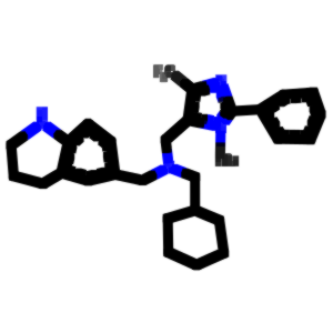 CCCCn1c(-c2ccccc2)nc(C(F)(F)F)c1CN(Cc1ccc2c(c1)CCCN2)CC1CCCCC1